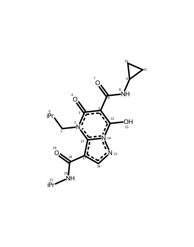 CC(C)Cn1c(=O)c(C(=O)NC2CC2)c(O)n2ncc(C(=O)NC(C)C)c12